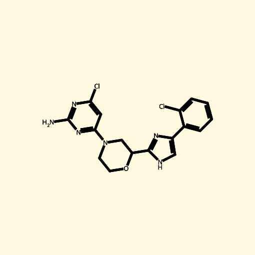 Nc1nc(Cl)cc(N2CCOC(c3nc(-c4ccccc4Cl)c[nH]3)C2)n1